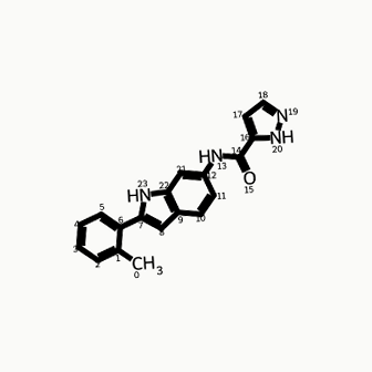 Cc1ccccc1-c1cc2ccc(NC(=O)c3ccn[nH]3)cc2[nH]1